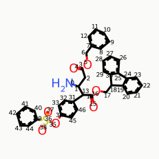 NC(CC(=O)OCc1ccccc1)C(C(=O)OCC1c2ccccc2-c2ccccc21)c1ccc(OS(=O)(=O)c2ccccc2)cc1